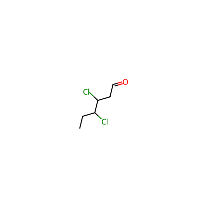 CCC(Cl)C(Cl)CC=O